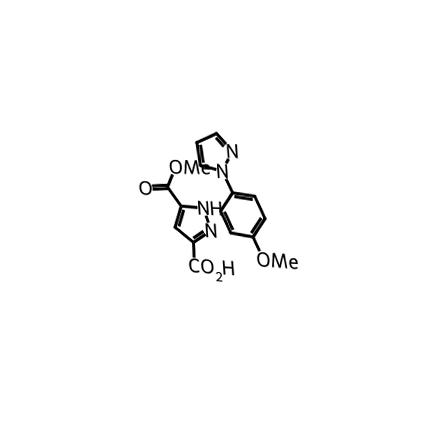 COC(=O)c1cc(C(=O)O)n[nH]1.COc1ccc(-n2cccn2)cc1